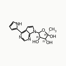 C[C@@]1(O)OC(n2ccc3c(-c4ccc[nH]4)ncnc32)[C@H](O)[C@@H]1O